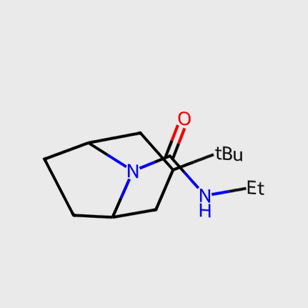 CCNC(=O)N1C2CCC1CC(C(C)(C)C)C2